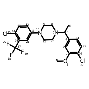 COc1cc(C(C)N2CCN(c3ccc(Cl)c(C(F)(F)F)c3)CC2)ccc1Cl